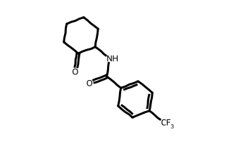 O=C(NC1CCCCC1=O)c1ccc(C(F)(F)F)cc1